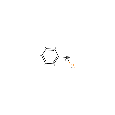 PBc1ccccc1